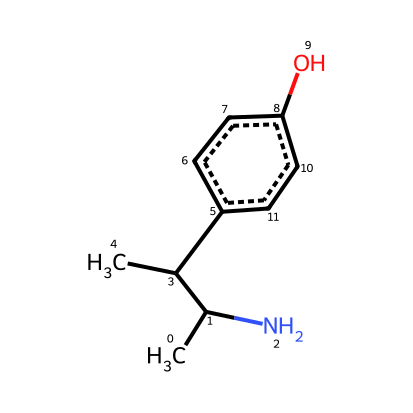 CC(N)C(C)c1ccc(O)cc1